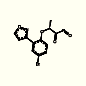 C[C@H](Oc1ccc(Br)cc1-c1ccon1)C(=O)N=O